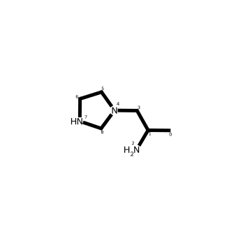 CC(N)CN1CCNC1